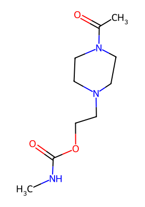 CNC(=O)OCCN1CCN(C(C)=O)CC1